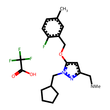 CNCc1cc(OCc2cc(C)ccc2F)n(CC2CCCC2)n1.O=C(O)C(F)(F)F